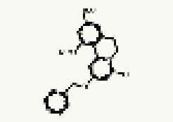 COc1cc2c(c(OC)c1)-c1cc(OCc3ccccc3)cc(Cl)[n+]1CC2